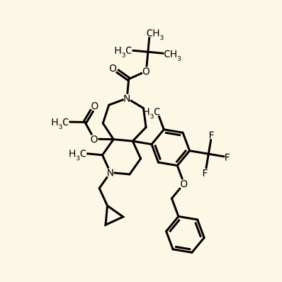 CC(=O)OC12CCN(C(=O)OC(C)(C)C)CCC1(c1cc(OCc3ccccc3)c(C(F)(F)F)cc1C)CCN(CC1CC1)C2C